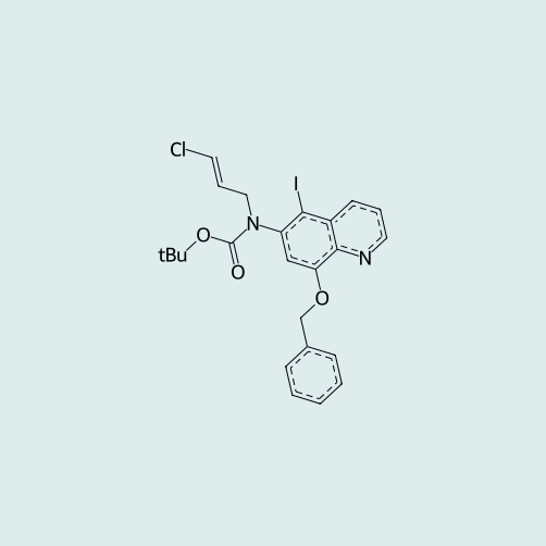 CC(C)(C)OC(=O)N(C/C=C/Cl)c1cc(OCc2ccccc2)c2ncccc2c1I